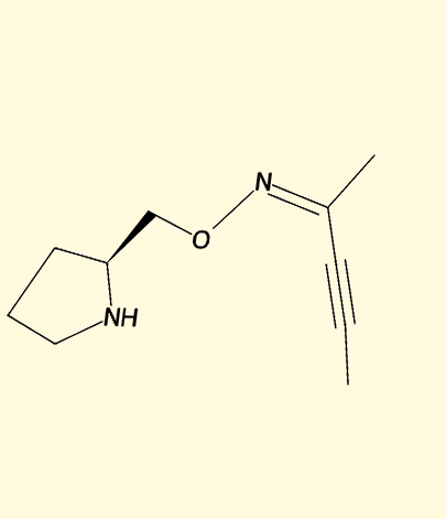 CC#C/C(C)=N\OC[C@@H]1CCCN1